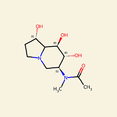 CC(=O)N(C)[C@H]1CN2CC[C@H](O)C2[C@@H](O)[C@@H]1O